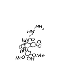 COc1cc(C2c3cc4c(cc3[C@@H](NC(=O)CCNCCN)[C@H]3COC(=O)[C@H]23)OCO4)cc(OC)c1O